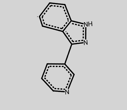 [c]1ccc2[nH]nc(-c3cccnc3)c2c1